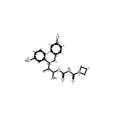 CCCC(OC(=O)NC(=O)N1CCC1)C(C)[C@H](Cc1ccc(Cl)cc1)c1cccc(C#N)c1